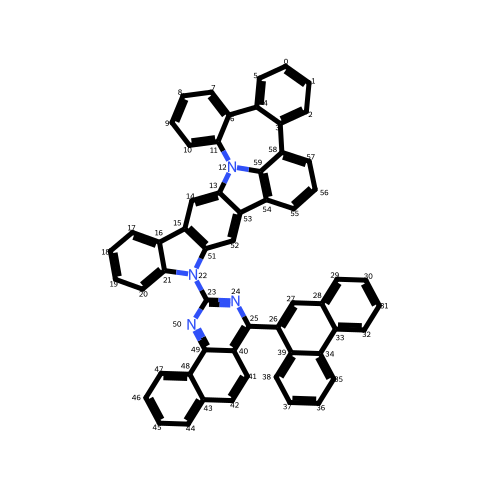 c1ccc2c(c1)-c1ccccc1-n1c3cc4c5ccccc5n(-c5nc(-c6cc7ccccc7c7ccccc67)c6ccc7ccccc7c6n5)c4cc3c3cccc-2c31